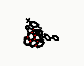 CC(C)(C)c1ccc2c(c1)C1(c3cc(C(C)(C)C)ccc3S2)c2ccccc2-c2ccc(-c3ccccc3N(c3ccc(-c4ccccc4)cc3)c3ccccc3-c3cccc4ccccc34)cc21